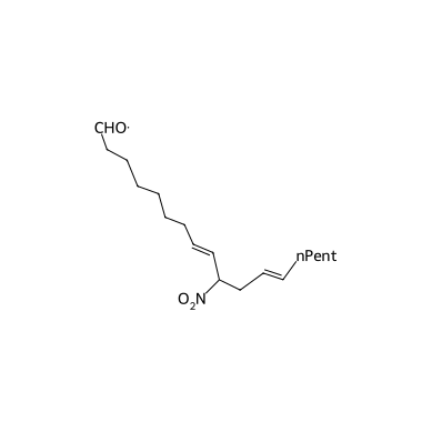 CCCCC/C=C/CC(/C=C/CCCCCC[C]=O)[N+](=O)[O-]